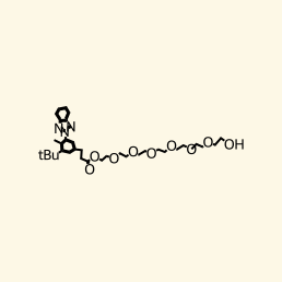 Cc1c(-n2nc3ccccc3n2)cc(CCC(=O)OCCOCCOCCOCCOCCOCCOCCO)cc1C(C)(C)C